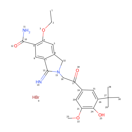 Br.CCOc1cc2c(cc1C(N)=O)C(=N)N(CC(=O)c1cc(OC)c(O)c(C(C)(C)C)c1)C2